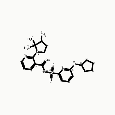 CC1CCN(c2ncccc2C(=O)NS(=O)(=O)c2cccc(OC3CCCC3)n2)C1(C)C